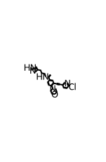 C=C(NCCCc1cn[nH]c1)c1ccc(N2CCOCC2)c(C#Cc2ccc(Cl)nc2)c1